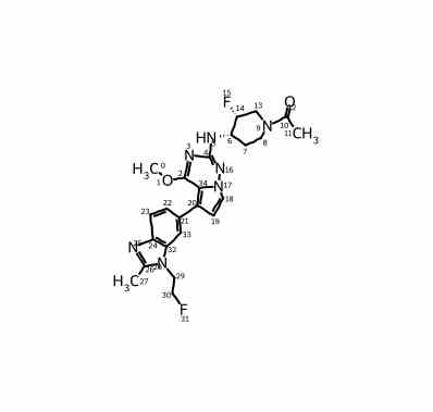 COc1nc(N[C@H]2CCN(C(C)=O)C[C@H]2F)nn2ccc(-c3ccc4nc(C)n(CCF)c4c3)c12